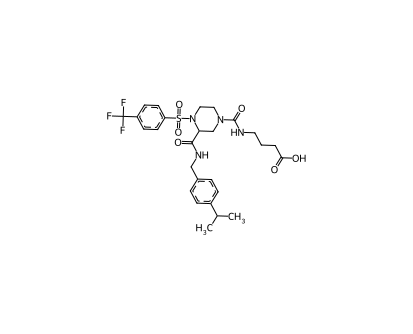 CC(C)c1ccc(CNC(=O)C2CN(C(=O)NCCCC(=O)O)CCN2S(=O)(=O)c2ccc(C(F)(F)F)cc2)cc1